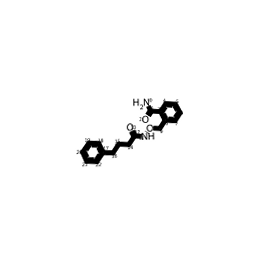 NC(=O)c1ccccc1CONC(=O)C[CH]Cc1ccccc1